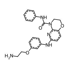 NCCOc1cccc(Nc2ccc3c(n2)N(C(=O)Nc2ccccc2)CCO3)c1